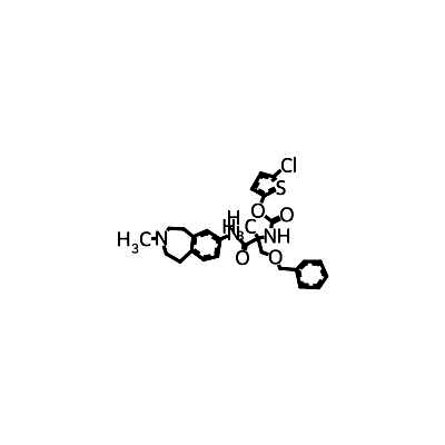 CN1CCc2ccc(NC(=O)C(C)(COCc3ccccc3)NC(=O)Oc3ccc(Cl)s3)cc2CC1